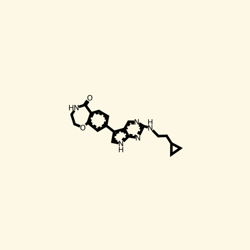 O=C1NCCOc2cc(-c3c[nH]c4nc(NCCC5CC5)ncc34)ccc21